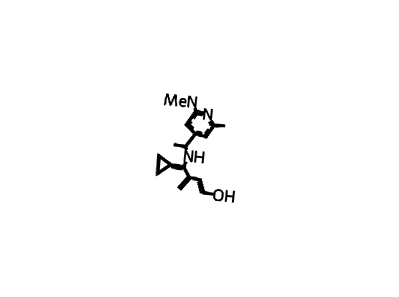 C=C(/C=C/O)C(NC(C)c1cc(C)nc(NC)c1)=C1CC1